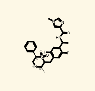 CC(NC(=O)c1cn(C)cn1)c1cc(F)c(CC2[C@H](C)NC[C@@H](c3ccccc3)S2(=O)=O)cc1F